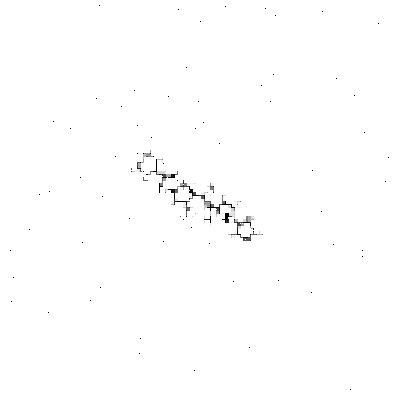 COc1cc2nc(C3CCOCC3)cn2cc1C(=O)Nc1ccn(C2CCCC2)n1